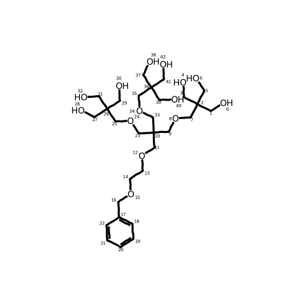 OCC(CO)(CO)COCC(COCCOCc1ccccc1)(COCC(CO)(CO)CO)COCC(CO)(CO)CO